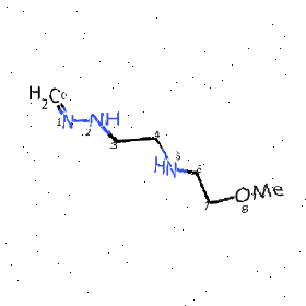 C=NNCCNCCOC